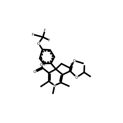 COCCC1(c2ccc(OC(F)(F)F)cc2)C(C(=O)O)=C(C)N(C)C(C)=C1C(=O)OC(C)C